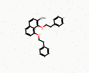 COc1ccc2cccc(OCCc3ccccc3)c2c1OCCc1ccccc1